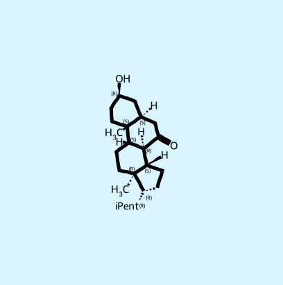 CCC[C@@H](C)[C@H]1CC[C@H]2[C@@H]3C(=O)C[C@@H]4C[C@H](O)CC[C@]4(C)[C@H]3CC[C@]12C